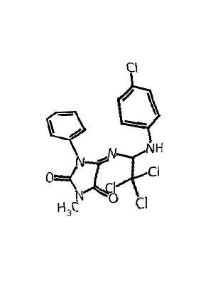 CN1C(=O)C(=NC(Nc2ccc(Cl)cc2)C(Cl)(Cl)Cl)N(c2ccccc2)C1=O